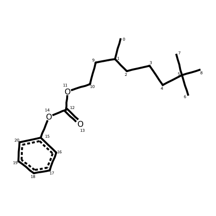 CC(CCCC(C)(C)C)CCOC(=O)Oc1ccccc1